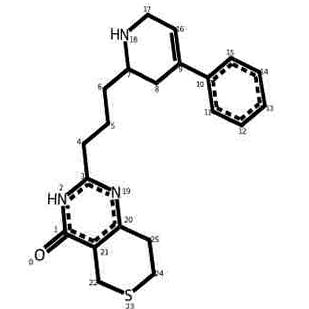 O=c1[nH]c(CCCC2CC(c3ccccc3)=CCN2)nc2c1CSCC2